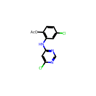 CC(=O)Oc1ccc(Cl)cc1Nc1cc(Cl)ncn1